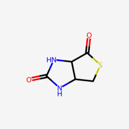 O=C1NC2CSC(=O)C2N1